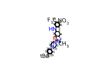 CN(C[C@H]1CC[C@H](Nc2ccc([N+](=O)[O-])c(C(F)(F)F)c2)CC1)C(=O)N1CCN(c2ccc(C(C)(C)C)cc2)CC1